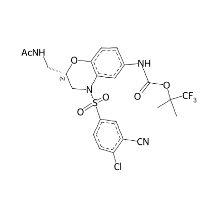 CC(=O)NC[C@H]1CN(S(=O)(=O)c2ccc(Cl)c(C#N)c2)c2cc(NC(=O)OC(C)(C)C(F)(F)F)ccc2O1